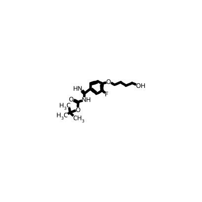 CC(C)(C)OC(=O)NC(=N)c1ccc(OCCCCO)c(F)c1